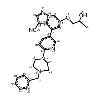 CC(O)COc1cc(-c2ccc(N3CCN(Cc4ccccn4)CC3)nc2)c2c(C#N)cnn2c1